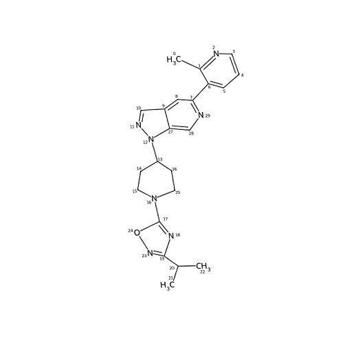 Cc1ncccc1-c1cc2cnn(C3CCN(c4nc(C(C)C)no4)CC3)c2cn1